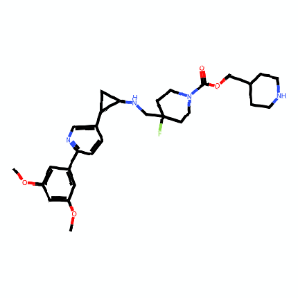 COc1cc(OC)cc(-c2ccc(C3CC3NCC3(F)CCN(C(=O)OCC4CCNCC4)CC3)cn2)c1